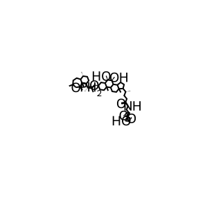 CC1CCC2[C@H](C)CCC([C@@H](C)C(C)O[C@@H]3CCC4(C)C5CCC6(C)C(CCC6[C@H](C)CCC(=O)NCCS(=O)(=O)O)C5[C@H](O)[C@H](O)C4C3)C2(P)C(C)O1